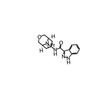 CCCN1[C@@H]2COC[C@H]1C[C@@H](NC(=O)c1n[nH]c3ccccc13)C2